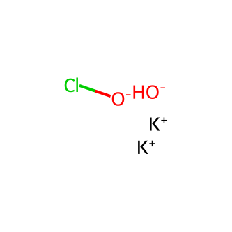 [K+].[K+].[O-]Cl.[OH-]